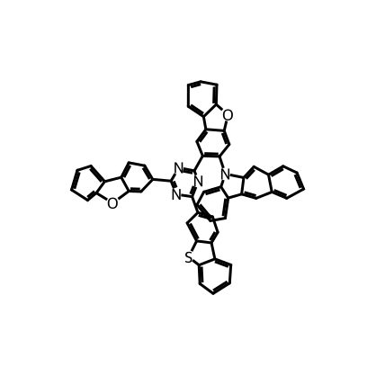 c1ccc2cc3c(cc2c1)c1ccccc1n3-c1cc2oc3ccccc3c2cc1-c1nc(-c2ccc3c(c2)oc2ccccc23)nc(-c2ccc3c(c2)sc2ccccc23)n1